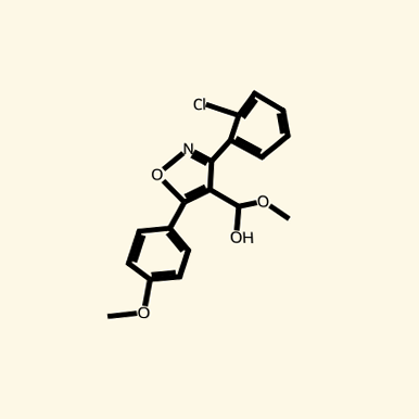 COc1ccc(-c2onc(-c3ccccc3Cl)c2C(O)OC)cc1